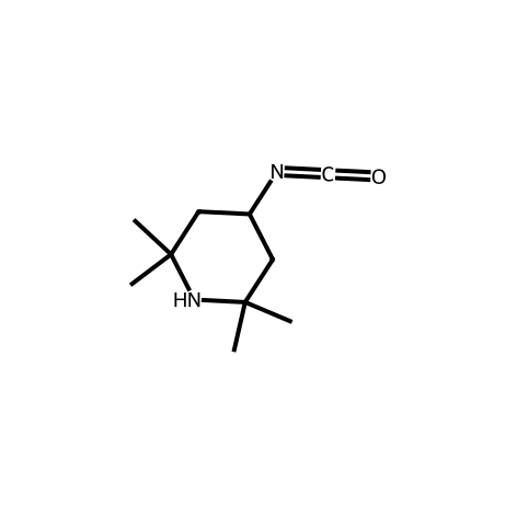 CC1(C)CC(N=C=O)CC(C)(C)N1